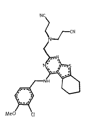 COc1ccc(CNc2nc(CN(CCC#N)CCC#N)nc3sc4c(c23)CCCC4)cc1Cl